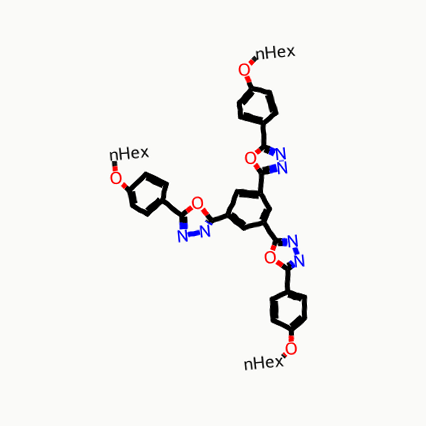 CCCCCCOc1ccc(-c2nnc(-c3cc(-c4nnc(-c5ccc(OCCCCCC)cc5)o4)cc(-c4nnc(-c5ccc(OCCCCCC)cc5)o4)c3)o2)cc1